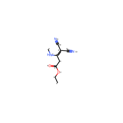 CCOC(=O)CC(NC)=C(C#N)C#N